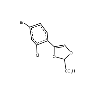 O=C(O)C1OC=C(c2ccc(Br)cc2Cl)O1